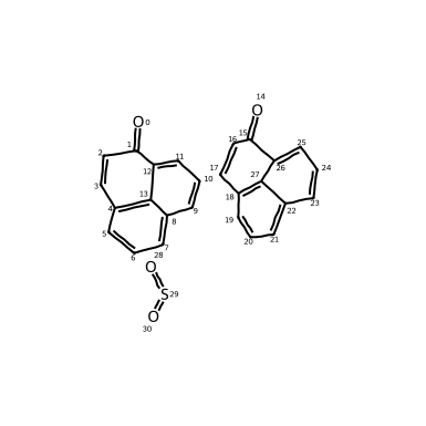 O=C1C=Cc2cccc3cccc1c23.O=C1C=Cc2cccc3cccc1c23.O=S=O